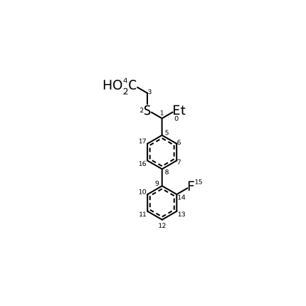 CCC(SCC(=O)O)c1ccc(-c2ccccc2F)cc1